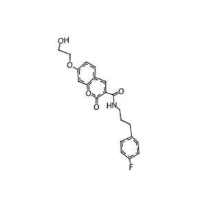 O=C(NCCCc1ccc(F)cc1)c1cc2ccc(OCCO)cc2oc1=O